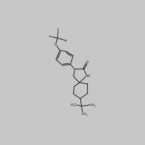 CC(C)(C)C1CCC2(CC1)CN(c1ccc(OC(F)(F)F)cc1)C(=O)N2